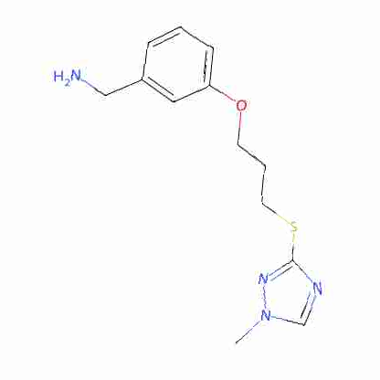 Cn1cnc(SCCCOc2cccc(CN)c2)n1